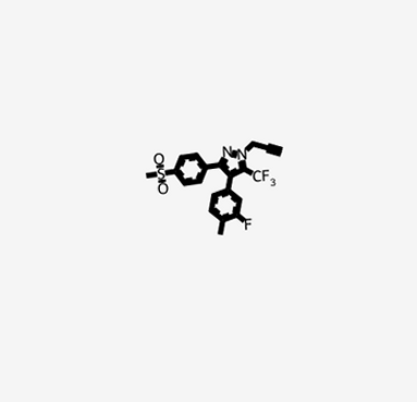 C#CCn1nc(-c2ccc(S(C)(=O)=O)cc2)c(-c2ccc(C)c(F)c2)c1C(F)(F)F